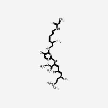 C=CC(=O)N/C=C/C=C\C(C)CNc1nc(N/C(=C/C(F)=C/N(C)CCN(C)C)C(=C)OC)ncc1Cl